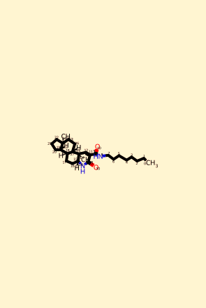 CCCCCCCCNC(=O)C1=C[C@@]2(C)[C@@H](CC[C@H]3[C@@H]4CCC[C@@]4(C)CC[C@@H]32)NC1=O